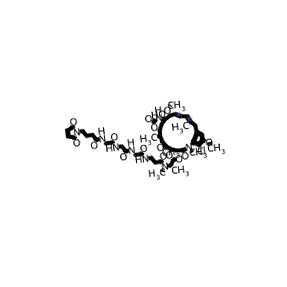 COc1cc2cc(c1Cl)N(C)C(=O)CC(OC(=O)C(C)N(C)C(=O)CCNC(=O)CNC(=O)CNC(=O)CNC(=O)CCCN1C(=O)C=CC1=O)C1(C)OC1C(C)C1CC(O)(NC(=O)O1)C(OC)/C=C/C=C(\C)C2